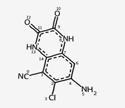 N#Cc1c(Cl)c(N)cc2[nH]c(=O)c(=O)[nH]c12